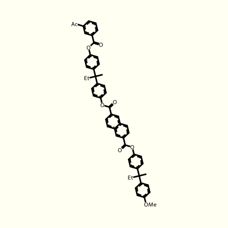 CCC(C)(c1ccc(OC)cc1)c1ccc(OC(=O)c2ccc3cc(C(=O)Oc4ccc(C(C)(CC)c5ccc(OC(=O)c6cccc(C(C)=O)c6)cc5)cc4)ccc3c2)cc1